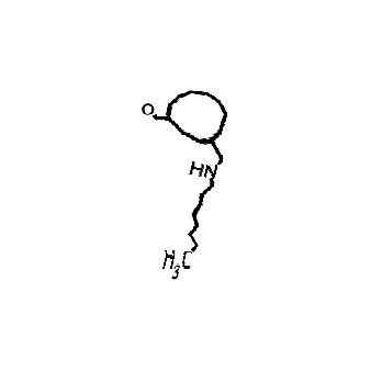 CCCCCCCCNCC1CCCCCCCC(C=O)CC1